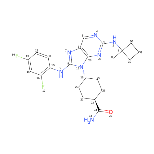 CC1(Nc2ncc3nc(Nc4ccc(F)cc4F)n([C@H]4CC[C@H](C(N)=O)CC4)c3n2)CCC1